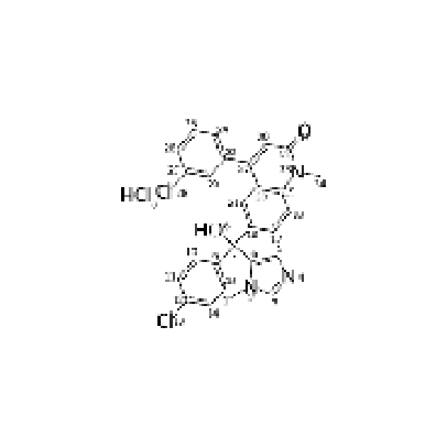 Cl.Cn1cncc1C(O)(c1ccc(Cl)cc1)c1ccc2c(c1)c(-c1cccc(Cl)c1)cc(=O)n2C